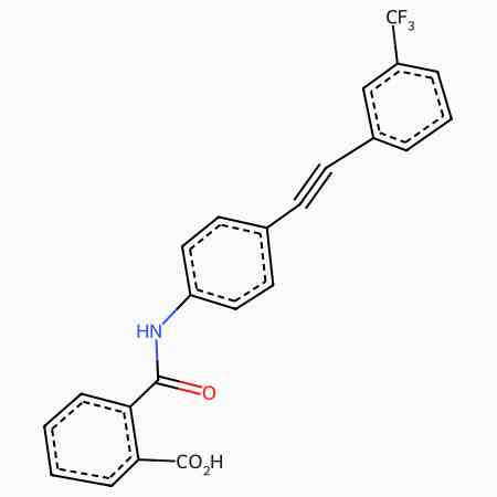 O=C(O)c1ccccc1C(=O)Nc1ccc(C#Cc2cccc(C(F)(F)F)c2)cc1